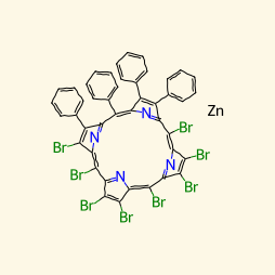 BrC1=C(Br)C2=C(Br)C3=NC(=C(Br)C4=NC(=C(c5ccccc5)C5=NC(=C(Br)C1=N2)C(Br)=C5c1ccccc1)C(c1ccccc1)=C4c1ccccc1)C(Br)=C3Br.[Zn]